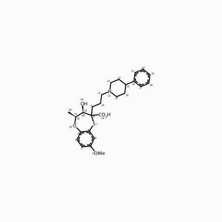 COc1ccc2c(c1)SC(CCCN1CCC(c3ccccc3)CC1)(C(=O)O)[C@H](O)[C@H](C)O2